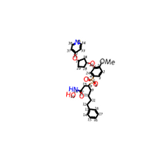 COc1ccc(S(=O)(=O)C(CCCCc2ccccc2)CC(=O)NO)cc1O[C@H]1CC[C@H](Oc2ccncc2)C1